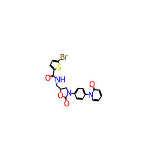 O=C(NCC1CN(c2ccc(-n3ccccc3=O)cc2)C(=O)O1)c1ccc(Br)s1